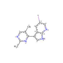 Cc1ncc(C#N)c(-c2c[nH]c3ncc(I)cc23)n1